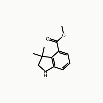 COC(=O)c1cccc2c1C(C)(C)CN2